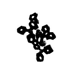 c1ccc(N(c2ccccc2)c2ccc3c(c2)C2(c4cc(N(c5ccccc5)c5ccc6sc7ccccc7c6c5)ccc4-3)c3ccccc3C(c3ccccc3)(c3ccccc3)c3ccccc32)cc1